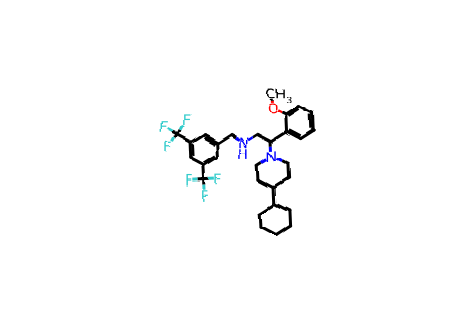 COc1ccccc1C(CNCc1cc(C(F)(F)F)cc(C(F)(F)F)c1)N1CCC(C2CCCCC2)CC1